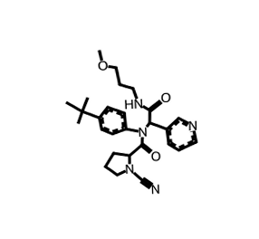 COCCCNC(=O)C(c1cccnc1)N(C(=O)C1CCCN1C#N)c1ccc(C(C)(C)C)cc1